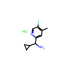 Cc1cc(C(N)C2CC2)ncc1F.Cl